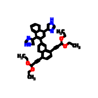 CCOC(C#Cc1ccc(C#CC(OCC)OCC)c2cc(-c3cc(-c4c[nH]cn4)c4ccccc4c3-c3c[nH]cn3)ccc12)OCC